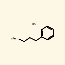 Br.CCCCCCCCc1ccccc1